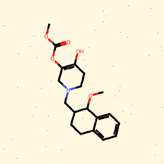 COC(=O)OC1=C(O)CCN(CC2CCc3ccccc3C2OC)C1